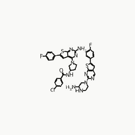 NC1CN(c2ncc3cc(-c4ccc(F)cc4)sc3n2)CCN1.Nc1nc(N2CC[C@@H](NC(=O)c3ccc(Cl)cc3)C2)c2cc(-c3ccc(F)cc3)sc2n1